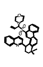 C=CC(N1CCOCC1)S(=O)(=O)c1cc2c3c(ccc2c2ccccc12)C(C)(C)CCC3c1ccc2ccccc2n1